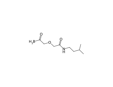 BC(=O)COCC(=O)NCCC(C)C